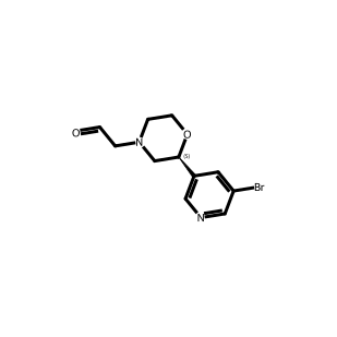 O=CCN1CCO[C@@H](c2cncc(Br)c2)C1